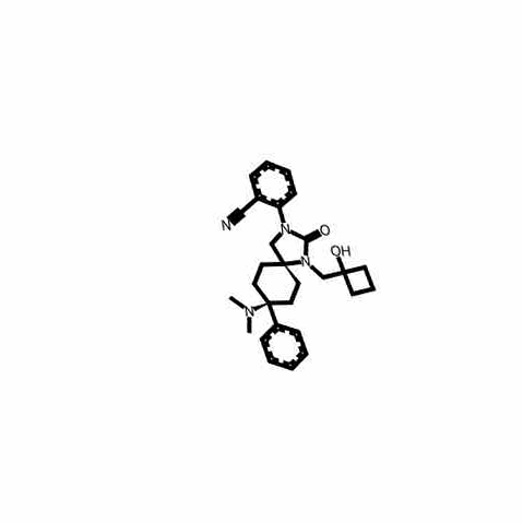 CN(C)[C@]1(c2ccccc2)CC[C@@]2(CC1)CN(c1ccccc1C#N)C(=O)N2CC1(O)CCC1